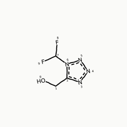 OCc1nnnn1C(F)F